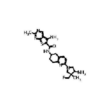 Cc1ncc2c(N)c(C(=O)NC3CCc4nc(N5CC(N)C(C)(CF)C5)ccc4C3)sc2n1